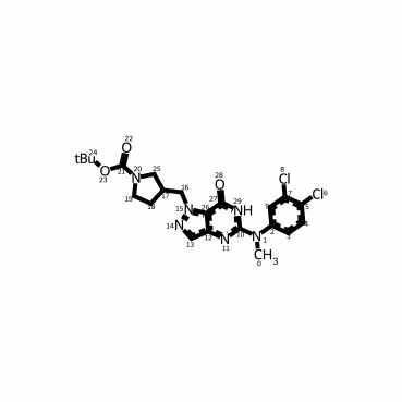 CN(c1ccc(Cl)c(Cl)c1)c1nc2cnn(CC3CCN(C(=O)OC(C)(C)C)C3)c2c(=O)[nH]1